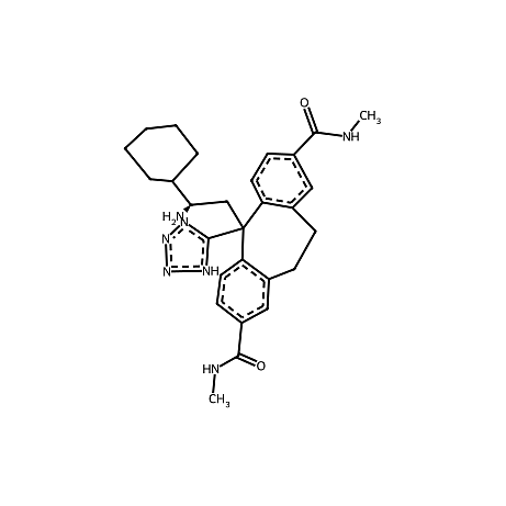 CNC(=O)c1ccc2c(c1)CCc1cc(C(=O)NC)ccc1C2(C[C@@H](N)C1CCCCC1)c1nnn[nH]1